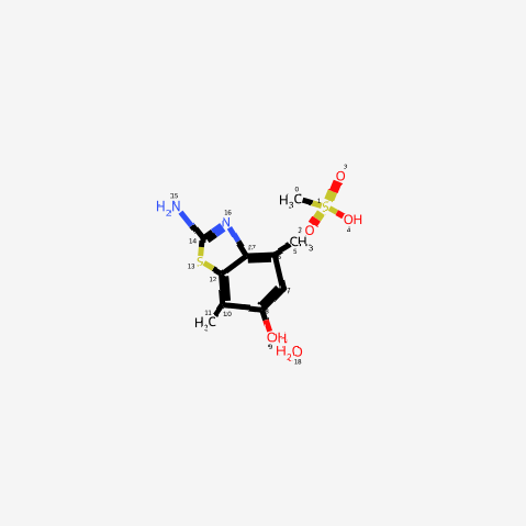 CS(=O)(=O)O.Cc1cc(O)c(C)c2sc(N)nc12.O